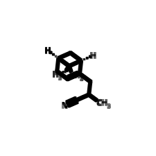 CC(C#N)CC1=CC[C@H]2C[C@@H]1C2(C)C